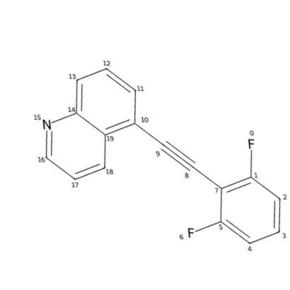 Fc1cccc(F)c1C#Cc1cccc2ncccc12